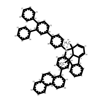 CC1(C)c2ccccc2C2=CC=CC(C)(N(c3ccc(-c4ccc(-c5ccccc5)c(-c5ccccc5)c4)cc3)c3ccc(-c4cccc5c4ccc4ccccc45)cc3)C21